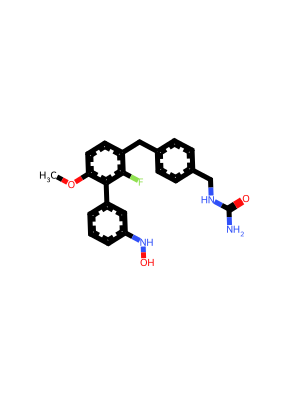 COc1ccc(Cc2ccc(CNC(N)=O)cc2)c(F)c1-c1cccc(NO)c1